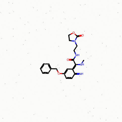 CN/C(C(=O)NCCN1CCOC1=O)=C1/C=C(OCc2ccccc2)C=CC1=N